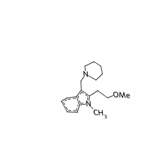 COCCc1c(CN2CCCCC2)c2ccccc2n1C